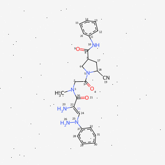 CN(CC(=O)N1CC(C(=O)Nc2ccccc2)CC1C#N)C(=O)/C(N)=C/N(N)c1ccccc1